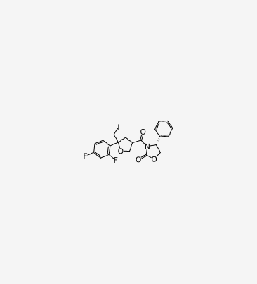 O=C1OC[C@@H](c2ccccc2)N1C(=O)C1COC(CI)(c2ccc(F)cc2F)C1